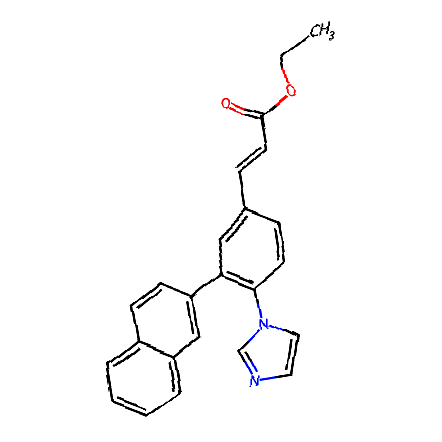 CCOC(=O)C=Cc1ccc(-n2ccnc2)c(-c2ccc3ccccc3c2)c1